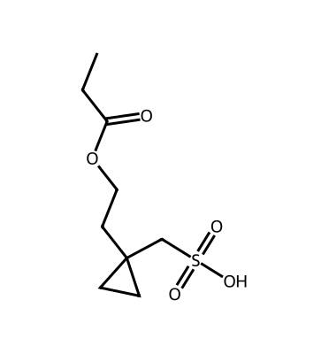 CCC(=O)OCCC1(CS(=O)(=O)O)CC1